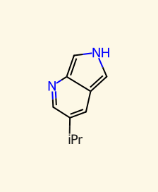 CC(C)c1cnc2c[nH]cc2c1